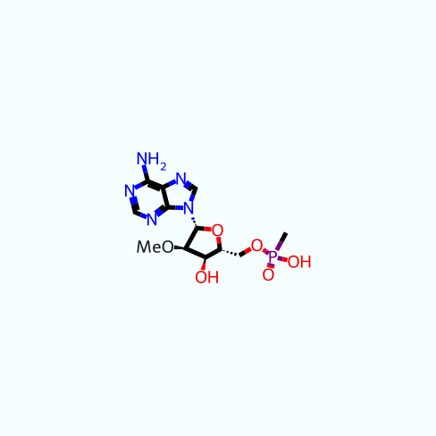 CO[C@@H]1[C@H](O)[C@@H](COP(C)(=O)O)O[C@H]1n1cnc2c(N)ncnc21